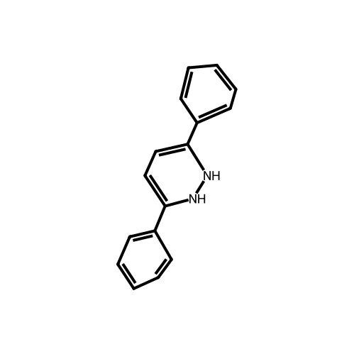 C1=C(c2ccccc2)NNC(c2ccccc2)=C1